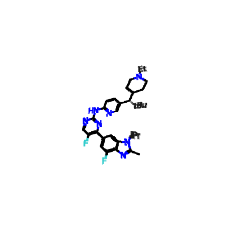 CCN1CCC([C@@H](c2ccc(Nc3ncc(F)c(-c4cc(F)c5nc(C)n(C(C)C)c5c4)n3)nc2)C(C)(C)C)CC1